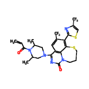 C=CC(=O)N1C(C)CN(c2nc(=O)n3c4c(c(-c5nc(C(F)(F)F)cs5)c(C(F)(F)F)cc24)SCCC3)CC1C